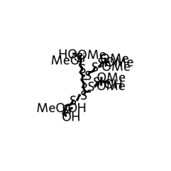 CO[Si](CO)(CO)CCSCCSC(CSCC[Si](CO)(OC)OC)CSCC(CSCC[Si](CO)(OC)OC)SCCSCC[Si](OC)(OC)OC